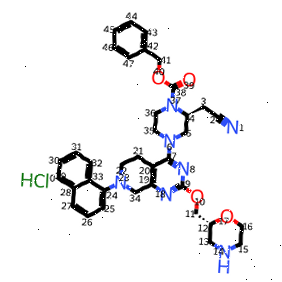 Cl.N#CC[C@H]1CN(c2nc(OC[C@H]3CNCCO3)nc3c2CCN(c2cccc4ccccc24)C3)CCN1C(=O)OCc1ccccc1